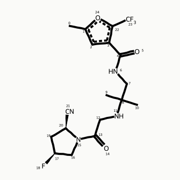 Cc1cc(C(=O)NCC(C)(C)NCC(=O)N2C[C@@H](F)C[C@H]2C#N)c(C(F)(F)F)o1